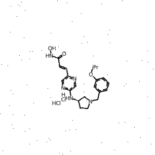 CC(C)Oc1cccc(CN2CC[C@@H](Nc3cnc(/C=C/C(=O)NO)cn3)C2)c1.Cl.Cl